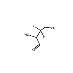 NCC(F)(F)C(O)C=O